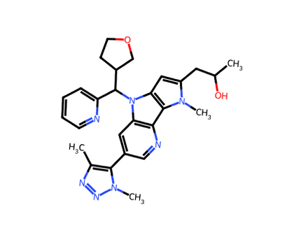 Cc1nnn(C)c1-c1cnc2c3c(cc(CC(C)O)n3C)n(C(c3ccccn3)C3CCOC3)c2c1